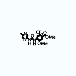 COC(=O)c1cc(OC)c(NC(=O)Nc2cnc(C)cn2)cc1C(F)(F)F